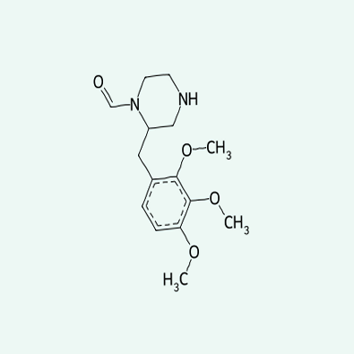 COc1ccc(CC2CNCCN2C=O)c(OC)c1OC